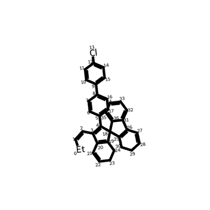 CC/C=C\C1=C(c2ccc(-c3ccc(Cl)cc3)cc2)C2(C3=C1C=CCC3)C1=C(C=CCC1)c1ccccc12